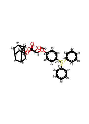 COCOC12CC3CC(C1)C(C)(OC(=O)COc1ccc([S+](c4ccccc4)c4ccccc4)cc1)C(C3)C2